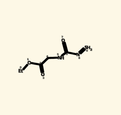 CCOC(=O)CNC(=O)N=[SH2]